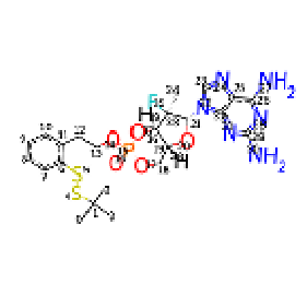 CC(C)(C)SSc1ccccc1CCOP1(=O)OC[C@H]2O[C@@H](n3cnc4c(N)nc(N)nc43)[C@](C)(F)[C@@H]2O1